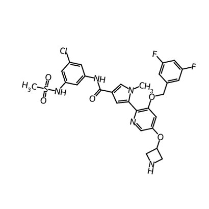 Cn1cc(C(=O)Nc2cc(Cl)cc(NS(C)(=O)=O)c2)cc1-c1ncc(OC2CNC2)cc1OCc1cc(F)cc(F)c1